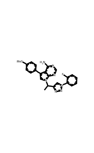 CSc1ccc(-c2cn(C(C)c3cn(-c4ccccc4F)nn3)c3ncnc(N)c23)cc1